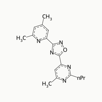 [CH2]CCc1nc(C)cc(-c2nc(-c3cc(C)cc(C)n3)no2)n1